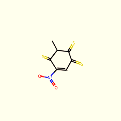 CC1C(=S)C(=S)[C]=C([N+](=O)[O-])C1=S